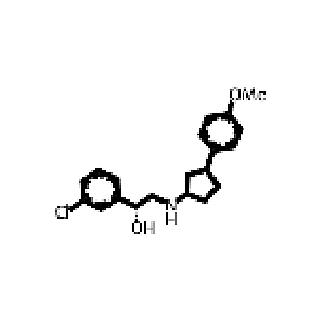 COc1ccc(C2CCC(NC[C@H](O)c3cccc(Cl)c3)C2)cc1